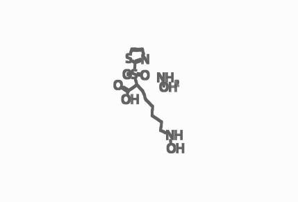 NO.O=C(O)C(CCCCCCNO)S(=O)(=O)c1nccs1